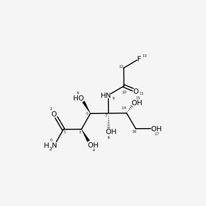 NC(=O)[C@H](O)[C@@H](O)[C@@](O)(NC(=O)CF)[C@H](O)CO